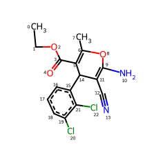 CCOC(=O)C1=C(C)OC(N)=C(C#N)C1c1cccc(Cl)c1Cl